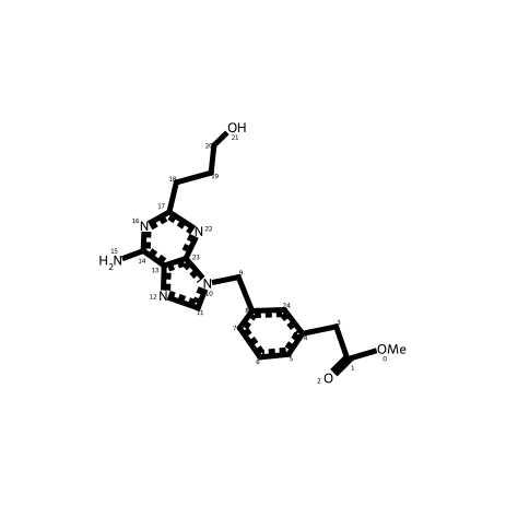 COC(=O)Cc1cccc(Cn2cnc3c(N)nc(CCCO)nc32)c1